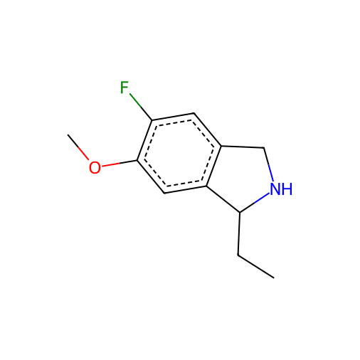 CCC1NCc2cc(F)c(OC)cc21